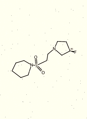 O=S(=O)(CCN1CC[C@@H](F)C1)N1CC[CH]CC1